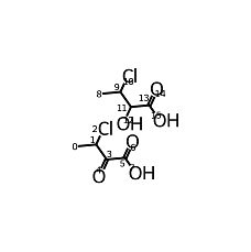 CC(Cl)C(=O)C(=O)O.CC(Cl)C(O)C(=O)O